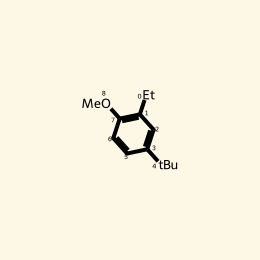 CCc1cc(C(C)(C)C)ccc1OC